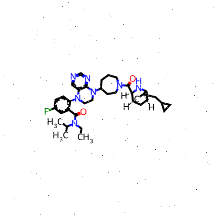 CCN(C(=O)c1cc(F)ccc1N1CCN(C2CCCN(C(=O)[C@H]3NC4CC[C@@H]3C[C@@H]4CC3CC3)CC2)c2ncncc21)C(C)C